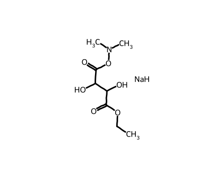 CCOC(=O)C(O)C(O)C(=O)ON(C)C.[NaH]